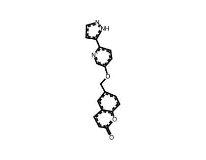 O=c1ccc2cc(COc3ccc(-c4ccn[nH]4)nc3)ccc2o1